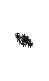 N#CC(C#N)=C1C(c2ccc(C(F)(F)F)cc2)=C(C#N)c2c1cc1c(c2C#N)C(=C(C#N)C#N)C(c2ccc(C(F)(F)F)cc2)=C1C#N